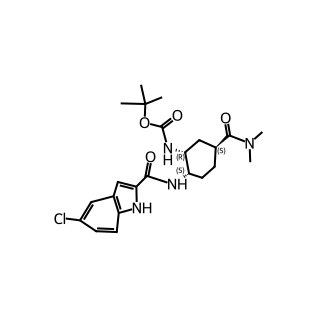 CN(C)C(=O)[C@H]1CC[C@H](NC(=O)c2cc3cc(Cl)ccc3[nH]2)[C@H](NC(=O)OC(C)(C)C)C1